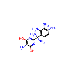 Nc1ccc(C(N)(N)c2nc(O)c(N)c(O)n2)c(N)c1N